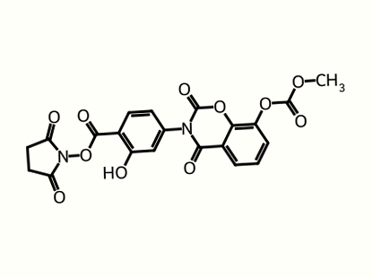 COC(=O)Oc1cccc2c(=O)n(-c3ccc(C(=O)ON4C(=O)CCC4=O)c(O)c3)c(=O)oc12